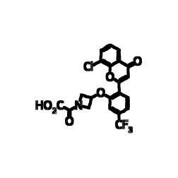 O=C(O)C(=O)N1CC(Oc2cc(C(F)(F)F)ccc2-c2cc(=O)c3cccc(Cl)c3o2)C1